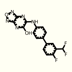 Oc1nc2nonc2nc1Nc1ccc(-c2ccc(F)c(C(F)F)c2)cc1